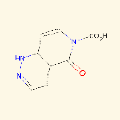 O=C(O)N1C=CC2NN=CCC2C1=O